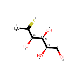 CC(=S)[C@H](O)[C@@H](O)[C@H](O)CO